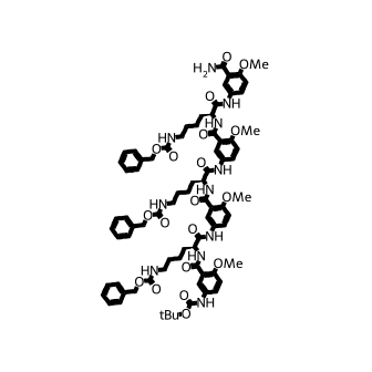 COc1ccc(NC(=O)[C@H](CCCCNC(=O)OCc2ccccc2)NC(=O)c2cc(NC(=O)[C@H](CCCCNC(=O)OCc3ccccc3)NC(=O)c3cc(NC(=O)[C@H](CCCCNC(=O)OCc4ccccc4)NC(=O)c4cc(NC(=O)OC(C)(C)C)ccc4OC)ccc3OC)ccc2OC)cc1C(N)=O